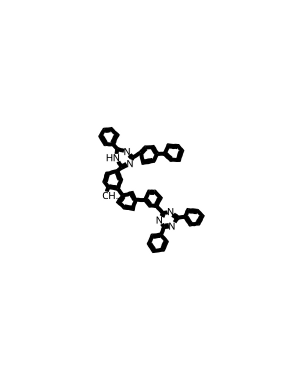 Cc1ccc(C2=NC(c3ccc(-c4ccccc4)cc3)=NC(c3ccccc3)N2)cc1-c1cccc(-c2cccc(-c3nc(-c4ccccc4)nc(-c4ccccc4)n3)c2)c1